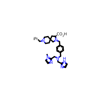 CC(C)CN1CCC2(CC1)C[C@@H](C(=O)O)N(Cc1ccc(CN(Cc3ncc[nH]3)Cc3nccn3C)cc1)C2